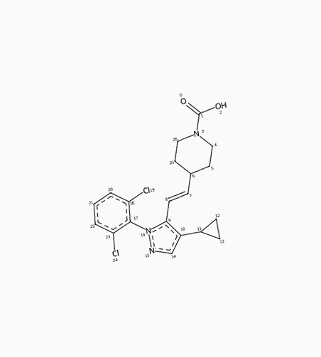 O=C(O)N1CCC(C=Cc2c(C3CC3)cnn2-c2c(Cl)cccc2Cl)CC1